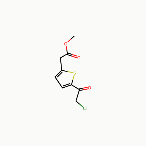 COC(=O)Cc1ccc(C(=O)CCl)s1